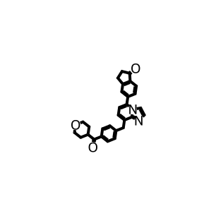 O=C1CCc2cc(-c3ccc(Cc4ccc(C(=O)C5CCOCC5)cc4)c4nccn34)ccc21